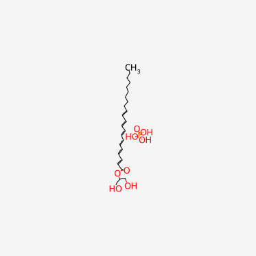 CCCCCCCCCC=CC=CC=CC=CC=CC=CC(=O)OC(CO)CO.O=P(O)(O)O